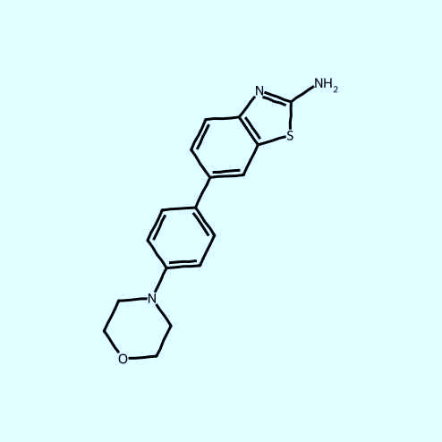 Nc1nc2ccc(-c3ccc(N4CCOCC4)cc3)cc2s1